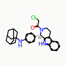 O=C(CCl)N1CCc2c([nH]c3ccccc23)[C@@H]1c1ccc(NC23CC4CC(CC(C4)C2)C3)cc1